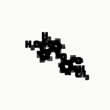 CNc1nccc(OCC2=C(c3ccnn3C(C)C)NCC2)c1C=O